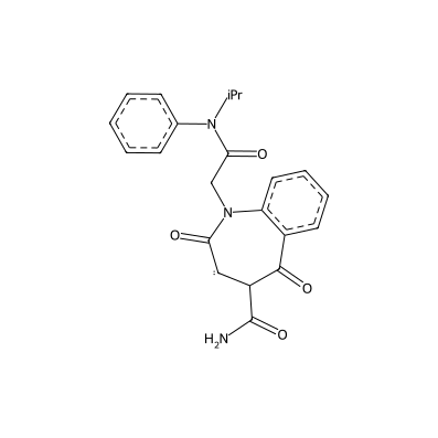 CC(C)N(C(=O)CN1C(=O)[C]C(C(N)=O)C(=O)c2ccccc21)c1ccccc1